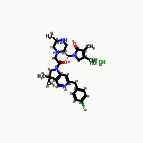 CC1=C(C)C(=O)N(C[C@H]2CN[C@H](C)CN2CC(=O)N2CC(C)(C)c3cnc(Cc4ccc(F)cc4)cc32)C1.Cl.Cl